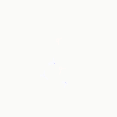 CC(C)COCc1nc(Nc2cccnc2Oc2ccccc2C(C)(C)C)sc1-c1ccccc1